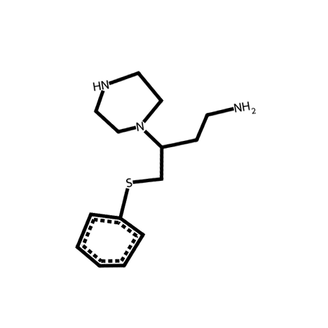 NCCC(CSc1ccccc1)N1CCNCC1